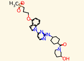 CS(=O)(=O)CCCOc1cccc2c1ccn2-c1ccnc(NC2CCC(C(=O)N3CCCC(O)C3)CC2)n1